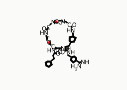 N=C(N)c1ccc(CNC(=O)[C@@H]2Cc3ccc(cc3)NC(=O)CCN3CCN(CCC(=O)Nc4ccc(cc4)C[C@@H](NC(=O)CCc4ccccc4)C(=O)N2)CC3)cc1